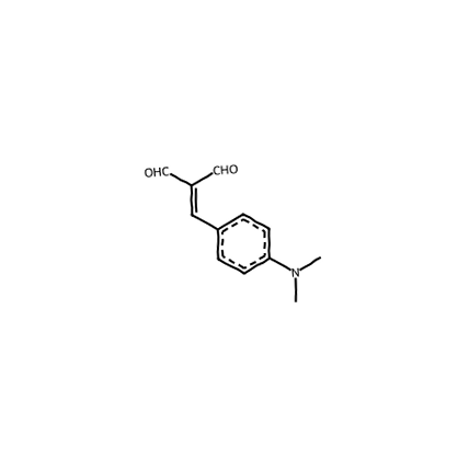 CN(C)c1ccc(C=C(C=O)C=O)cc1